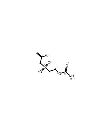 C=C(Br)CS(=O)(=O)CCOC(N)=O